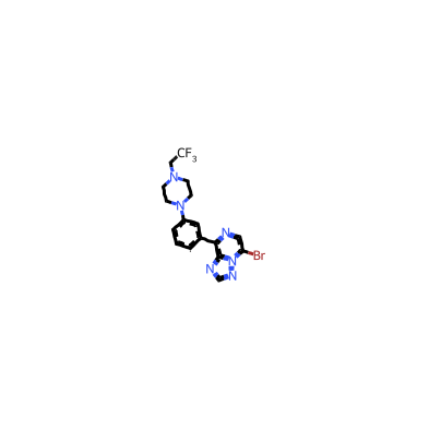 FC(F)(F)CN1CCN(c2cc[c]c(-c3ncc(Br)n4ncnc34)c2)CC1